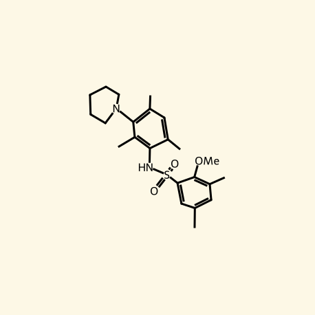 COc1c(C)cc(C)cc1S(=O)(=O)Nc1c(C)cc(C)c(N2CCCCC2)c1C